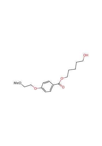 COCCOc1ccc(C(=O)OCCCCCO)cc1